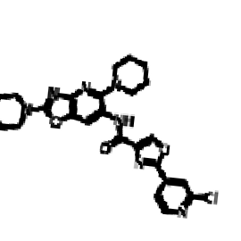 O=C(Nc1cc2oc(N3CCCCC3)nc2nc1N1CCCCC1)c1coc(-c2ccnc(Cl)c2)n1